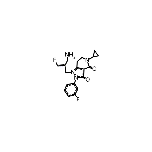 NC/C(=C\F)Cn1c2c(c(=O)n1-c1cccc(F)c1)C(=O)N(C1CC1)CC2